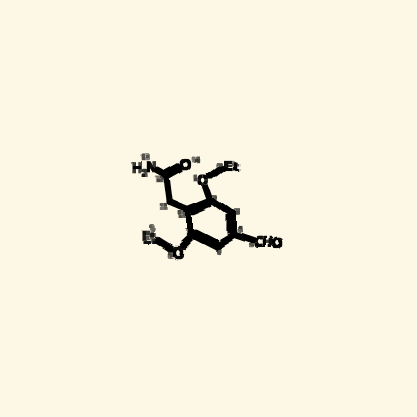 CCOc1cc(C=O)cc(OCC)c1CC(N)=O